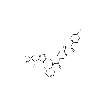 O=C(Nc1ccc(C(=O)N2Cc3ccc(C(=O)C(Cl)(Cl)Cl)n3Cc3ccccc32)cc1)c1ccc(Cl)cc1Cl